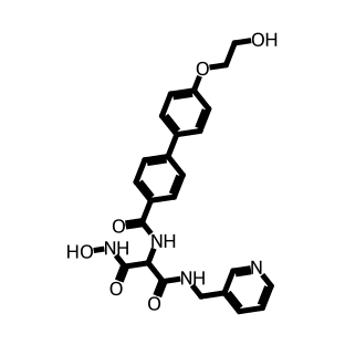 O=C(NC(C(=O)NO)C(=O)NCc1cccnc1)c1ccc(-c2ccc(OCCO)cc2)cc1